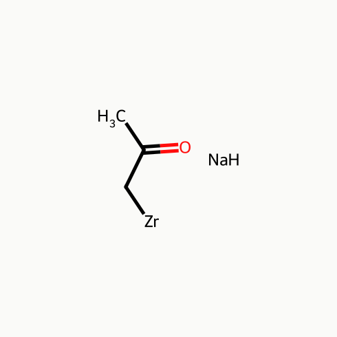 CC(=O)[CH2][Zr].[NaH]